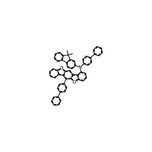 CC1(C)c2ccccc2-c2ccc(N(c3ccc(-c4ccccc4)cc3)c3cccc4oc5c(-c6ccc(-c7ccccc7)cc6)c6c(cc5c34)oc3ccccc36)cc21